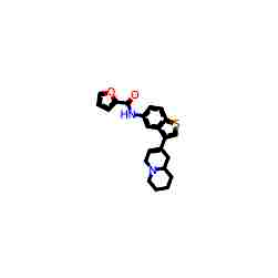 O=C(Nc1ccc2scc(C3=CCN4CCCCC4C3)c2c1)c1ccco1